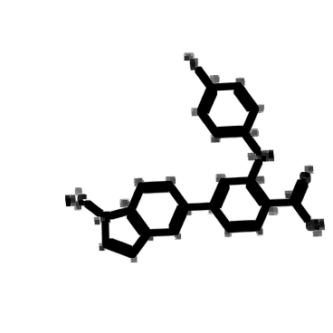 Cn1ccc2cc(-c3ccc(C(=O)O)c(Nc4ccc(F)cc4)c3)ccc21